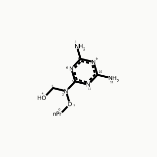 CCCON(CO)c1nc(N)nc(N)n1